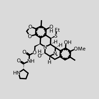 CCS[C@@H]1c2c(O)c(C)c3c(c2[C@H](COC(=O)NC(=O)[C@@H]2CCCN2)N2[C@@H]1[C@H]1c4c(cc(C)c(OC)c4O)C[C@H]([C@@H]2O)N1C)OCO3